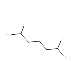 CCC(C)C(C)CCCC(C)N=O